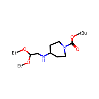 CCOC(CNC1CCN(C(=O)OC(C)(C)C)CC1)OCC